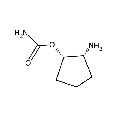 NC(=O)O[C@H]1CCC[C@H]1N